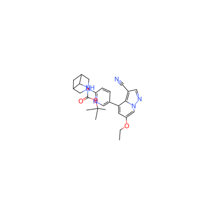 CCOc1cc(-c2ccc(N3CC4CC(C3)C4NC(=O)OC(C)(C)C)nc2)c2c(C#N)cnn2c1